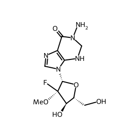 CO[C@@]1(F)[C@H](O)[C@@H](CO)O[C@H]1n1cnc2c1NCN(N)C2=O